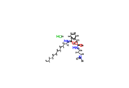 CCCCCCCCCCCCNC(=O)c1ccccc1COC(=O)NCCCN(C)C.Cl